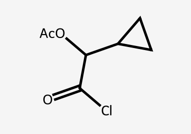 CC(=O)OC(C(=O)Cl)C1CC1